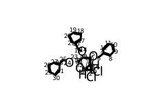 ClC1(Cl)[C@H]2[C@@H](OCc3ccccc3)[C@@H](OCc3ccccc3)[C@@H](COCc3ccccc3)O[C@@H]21